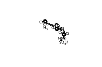 Cc1c(Cl)cccc1OCCCC(=O)N1CCCOc2c(-c3cnn(Cc4c(Cl)cc(C(=O)NCCS(=O)(=O)O)cc4Cl)c3)cccc21